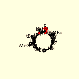 COc1ccc(C[C@@H]2NC(=O)[C@H]([C@@H](C)OC(C)(C)C)NC(=O)[C@@H]3CCC(=O)NCc4cccc(c4)CC(NC(=O)[C@@H](CNC(=O)OC(C)(C)C)NC(=O)[C@H](C)NC(=O)CCC(=O)NCc4ccc(cc4)CCNC(=O)[C@]4(C)CCCN4C2=O)C(=O)N[C@@H](Cc2c[nH]c4ccc(F)cc24)C(=O)N3C)cc1